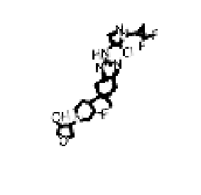 Cc1cc2cnc(Nc3cnn(C4CC4(F)F)c3Cl)nc2cc1C1CCN(C2COCC2O)C[C@@H]1F